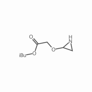 CCC(C)OC(=O)COC1CN1